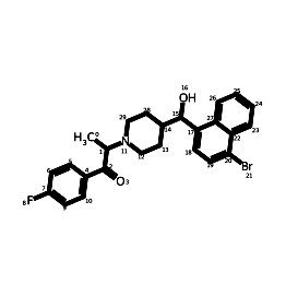 CC(C(=O)c1ccc(F)cc1)N1CCC(C(O)c2ccc(Br)c3ccccc23)CC1